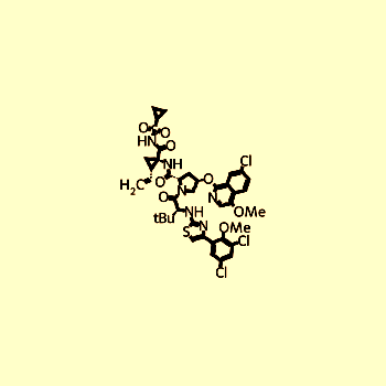 C=C[C@@H]1C[C@]1(NC(=O)[C@@H]1C[C@@H](Oc2ncc(OC)c3ccc(Cl)cc23)CN1C(=O)[C@@H](Nc1nc(-c2cc(Cl)cc(Cl)c2OC)cs1)C(C)(C)C)C(=O)NS(=O)(=O)C1CC1